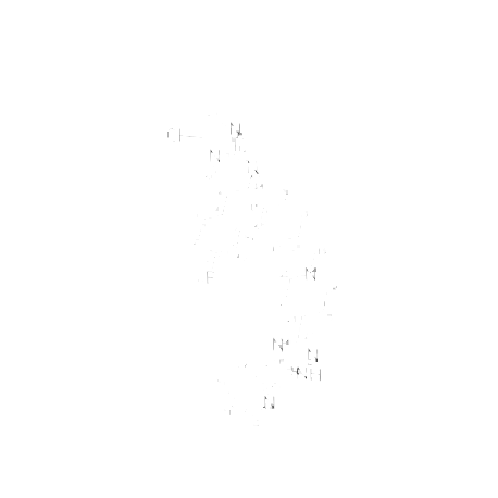 Fc1ccc(-c2cn3c(Cl)cnc3nc2-c2ccc(CN3CCC(c4n[nH]c(-c5ccccn5)n4)CC3)cc2)cc1